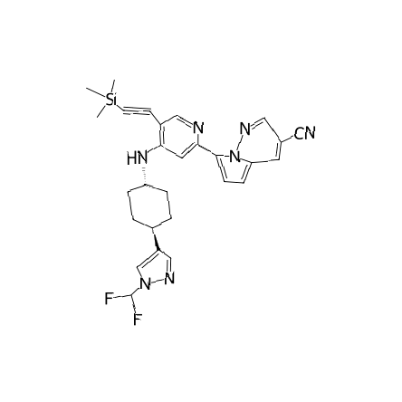 C[Si](C)(C)C#Cc1cnc(-c2ccc3cc(C#N)cnn23)cc1N[C@H]1CC[C@H](c2cnn(C(F)F)c2)CC1